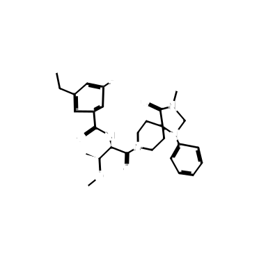 CCc1cc(F)cc(C(=O)N[C@@H](C(=O)N2CCC3(CC2)C(=O)N(C)CN3c2ccccc2)[C@H](C)OC)c1